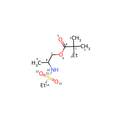 CCC(C)(C)C(=O)OCC(C)NS(=O)(=O)CC